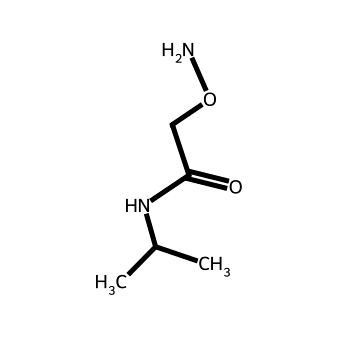 CC(C)NC(=O)CON